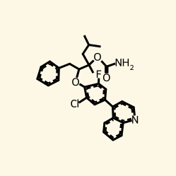 CC(C)CC(C)(OC(N)=O)C(Cc1ccccc1)Oc1c(F)cc(-c2ccnc3ccccc23)cc1Cl